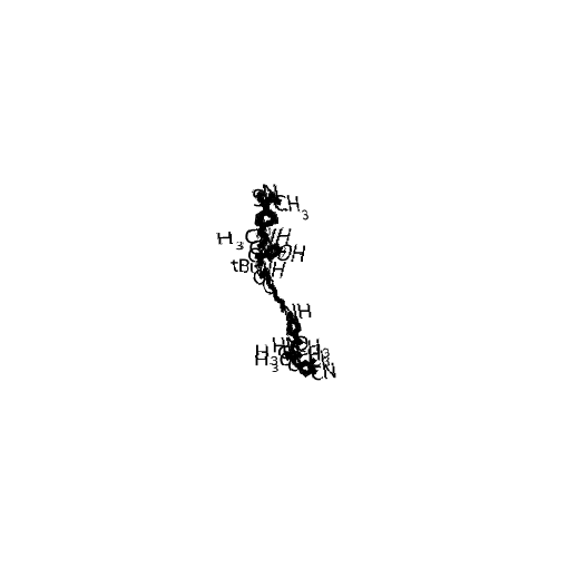 Cc1ncsc1-c1ccc([C@@H](C)NC(=O)[C@@H]2C[C@@H](O)CN2C(=O)[C@@H](NC(=O)COCCCCNc2ccc(C(=O)NC3C(C)(C)C(Oc4ccc(C#N)c(Cl)c4)C3(C)C)cc2)C(C)(C)C)cc1